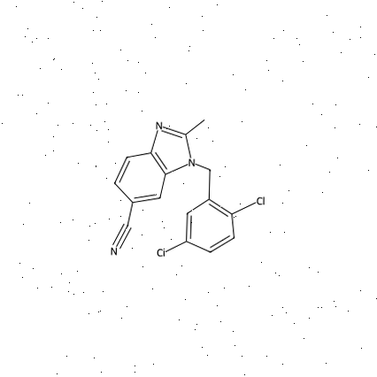 Cc1nc2ccc(C#N)cc2n1Cc1cc(Cl)ccc1Cl